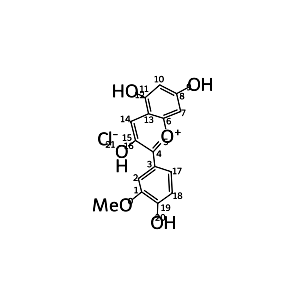 COc1cc(-c2[o+]c3cc(O)cc(O)c3cc2O)ccc1O.[Cl-]